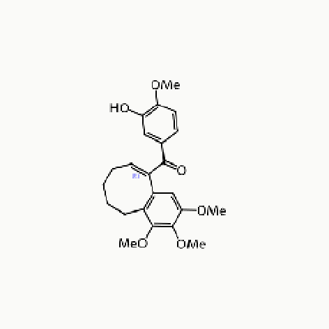 COc1ccc(C(=O)/C2=C/CCCCc3c2cc(OC)c(OC)c3OC)cc1O